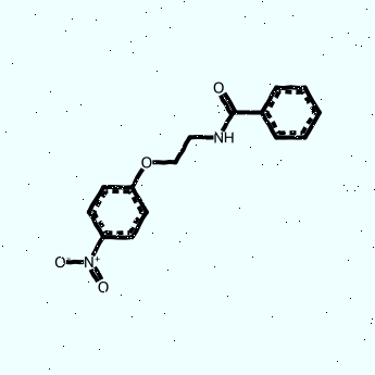 O=C(NCCOc1ccc([N+](=O)[O-])cc1)c1ccccc1